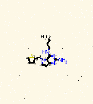 CCCCNc1nc(N)nc2ccn(Cc3cccs3)c12